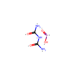 NC(=O)NC(N)=O.O=PO